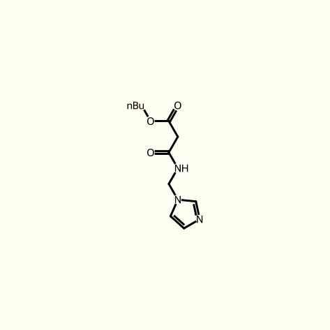 CCCCOC(=O)CC(=O)NCn1ccnc1